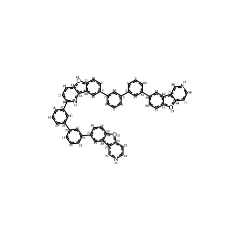 c1cc(-c2cccc(-c3ccc4oc5ccc(-c6cccc(-c7cccc(-c8ccc9oc%10ccncc%10c9c8)c7)c6)nc5c4c3)c2)cc(-c2ccc3oc4ccncc4c3c2)c1